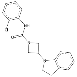 O=C(Nc1ccccc1Cl)N1CC(N2CCc3ccccc32)C1